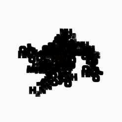 CC[C@H]1O[C@@H](n2cc(C)c(=O)[nH]c2=O)CC1OP(=O)(S)OC[C@H]1O[C@@H](n2cc(C)c(=O)[nH]c2=O)CC1OP(=O)(S)OC[C@H]1O[C@@H](n2cc(C)c(N)nc2=O)CC1OP(=O)(S)OC[C@H]1O[C@@H](n2cc(C)c(=O)[nH]c2=O)CC1OP(=O)(S)OC[C@H]1O[C@@H](n2cc(C)c(=O)[nH]c2=O)CC1OP(=O)(S)OC[C@H]1O[C@@H](n2cnc3c(N)ncnc32)CC1OP(=O)(S)OC[C@H]1O[C@@H](n2cc(C)c(N)nc2=O)CC1OP(=O)(S)OC